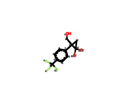 OCC1(c2ccc(C(F)(F)F)cc2)CC1(Br)Br